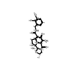 C[C@H]1CN2C(=O)c3c(O)c(=O)c(C(=O)NCc4cccc(Cl)c4F)c4n3[C@H](CC4)[C@@H]2O1